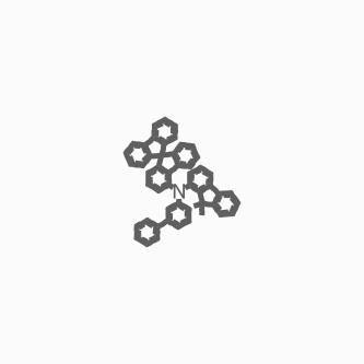 CC1(C)c2ccccc2-c2cccc(N(c3cccc(-c4ccccc4)c3)c3cccc4c3-c3ccccc3C43c4ccccc4-c4ccccc43)c21